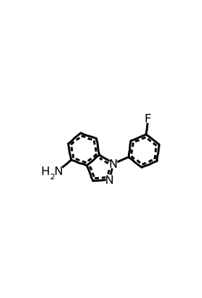 Nc1cccc2c1cnn2-c1cccc(F)c1